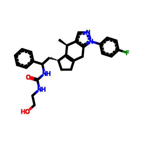 C[C@@H]1C2=C(CC[C@@H]2CC(NC(=O)NCCO)c2ccccc2)Cc2c1cnn2-c1ccc(F)cc1